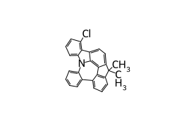 CC1(C)c2cccc3c2-c2c1ccc1c4c(Cl)cccc4n(c21)-c1ccccc1-3